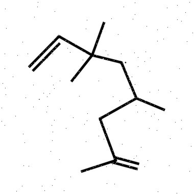 C=CC(C)(C)[CH]C(C)CC(=C)C